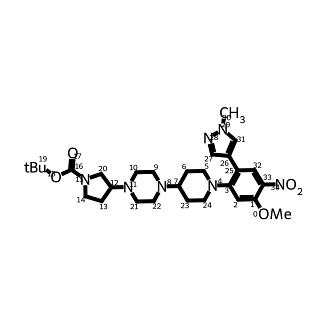 COc1cc(N2CCC(N3CCN(C4CCN(C(=O)OC(C)(C)C)C4)CC3)CC2)c(-c2cnn(C)c2)cc1[N+](=O)[O-]